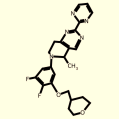 CC1c2cnc(-c3ncccn3)nc2CCN1c1cc(F)c(F)c(OCC2CCOCC2)c1